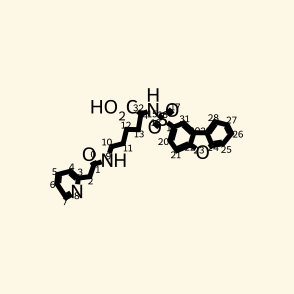 O=C(Cc1ccccn1)NCCCCC(NS(=O)(=O)c1ccc2oc3ccccc3c2c1)C(=O)O